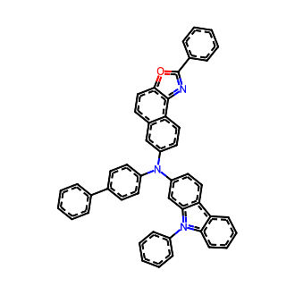 c1ccc(-c2ccc(N(c3ccc4c(ccc5oc(-c6ccccc6)nc54)c3)c3ccc4c5ccccc5n(-c5ccccc5)c4c3)cc2)cc1